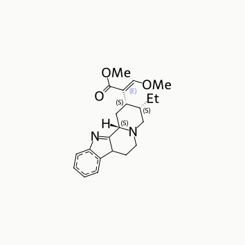 CC[C@@H]1CN2CCC3C(=Nc4ccccc43)[C@@H]2C[C@@H]1/C(=C\OC)C(=O)OC